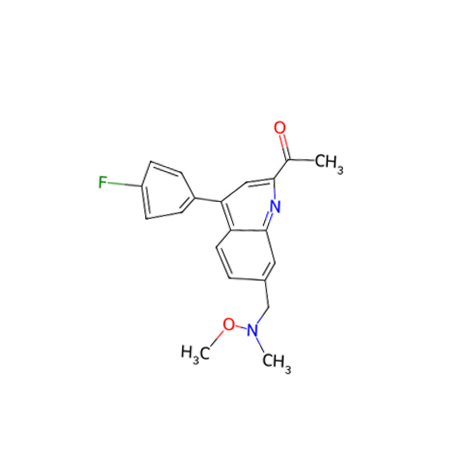 CON(C)Cc1ccc2c(-c3ccc(F)cc3)cc(C(C)=O)nc2c1